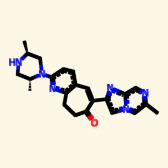 Cc1cn2cc(C3=Cc4ccc(N5C[C@H](C)NC[C@H]5C)nc4CCC3=O)nc2cn1